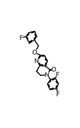 O=C1c2ccc(OCc3cccc(F)c3)nc2CCN1c1ccc(F)cc1F